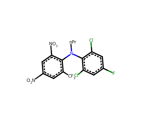 CCCN(c1c(Cl)cc(F)cc1Cl)c1c([N+](=O)[O-])cc([N+](=O)[O-])cc1C(F)(F)F